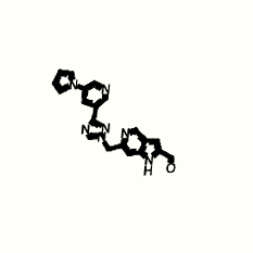 O=Cc1cc2cnc(Cn3cnc(-c4cncc(-n5cccc5)c4)n3)cc2[nH]1